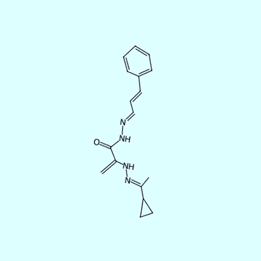 C=C(N/N=C(\C)C1CC1)C(=O)N/N=C/C=C/c1ccccc1